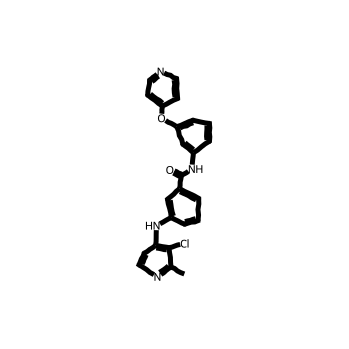 Cc1nccc(Nc2cccc(C(=O)Nc3cccc(Oc4ccncc4)c3)c2)c1Cl